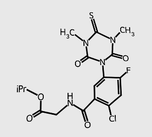 CC(C)OC(=O)CNC(=O)c1cc(-n2c(=O)n(C)c(=S)n(C)c2=O)c(F)cc1Cl